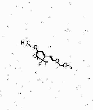 CCO/C=C/C(=C/C(=O)OCC)C(F)(F)F